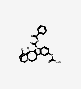 CCC1CC2C[C@H]3c4c(c5cc(OC(=O)OC)ccc5n4C(=O)OC(=O)c4ccccc4)CCN(C2)C13